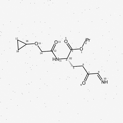 CC(C)OC(=O)[C@H](CCC(=O)C=N)NC(=O)COC1CC1